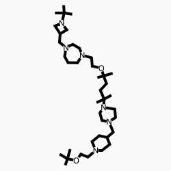 CC(C)(C)OCCN1CCC(CN2CCN(C(C)(C)CCC(C)(C)OCCN3CCCN(CC4CN(C(C)(C)C)C4)CC3)CC2)CC1